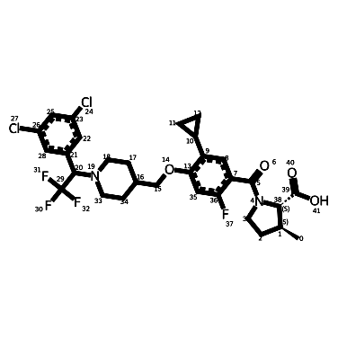 C[C@H]1CCN(C(=O)c2cc(C3CC3)c(OCC3CCN(C(c4cc(Cl)cc(Cl)c4)C(F)(F)F)CC3)cc2F)[C@@H]1C(=O)O